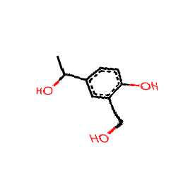 CC(O)c1ccc(O)c(CO)c1